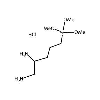 CO[Si](CCCC(N)CN)(OC)OC.Cl